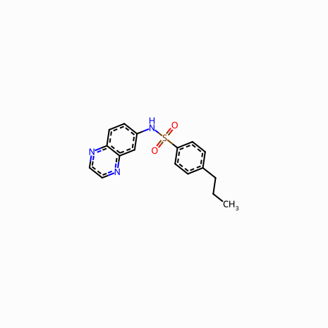 CCCc1ccc(S(=O)(=O)Nc2ccc3nccnc3c2)cc1